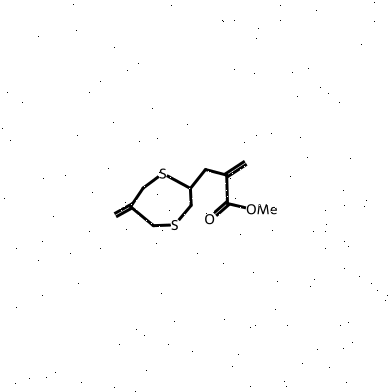 C=C1CSCC(CC(=C)C(=O)OC)SC1